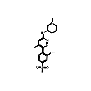 Cc1cc(N[C@@H]2CCCN(C)C2)nnc1-c1ccc(S(C)(=O)=O)cc1O